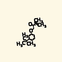 CN(C)C(=O)COc1cccc(C(C)(C)C)c1